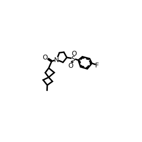 CC1CC2(C1)CC(C(=O)N1CCC(S(=O)(=O)c3ccc(F)cc3)C1)C2